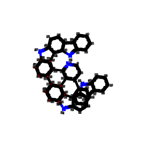 c1ccc(-c2ccnc(-c3c(-c4ccccc4)ccc4c3-c3c5c(ccc3=N4)=c3ccccc3=N5)c2-c2c(-c3ccccc3)ccc3c2-c2c4c(ccc2=N3)=c2ccccc2=N4)cc1